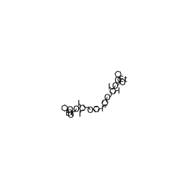 CCC1(OC(=O)COc2c(I)cc(COc3ccc([I+]c4ccc(OCc5cc(I)c(OCC(=O)OC6(CC)CCCCC6)c(I)c5)cc4)cc3)cc2I)CCCCC1